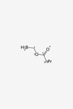 BCOC(=O)CCC